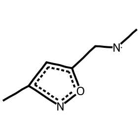 C[N]Cc1cc(C)no1